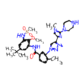 COc1c(NC(=O)c2ccc(C)c(-n3cc(-c4cn(C)c(N5CCNCC5)n4)nn3)c2)cc(C(C)(C)C)cc1NS(C)(=O)=O